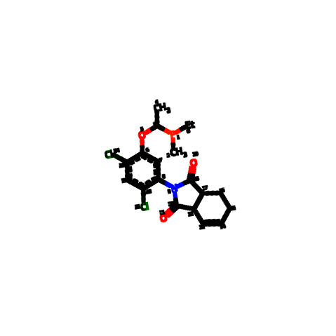 CCP(C)C(C)Oc1cc(N2C(=O)C3C=CCCC3C2=O)c(Cl)cc1Cl